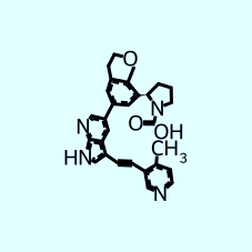 Cc1ccncc1C#Cc1c[nH]c2ncc(-c3cc4c(c([C@@H]5CCCN5C(=O)O)c3)COCC4)cc12